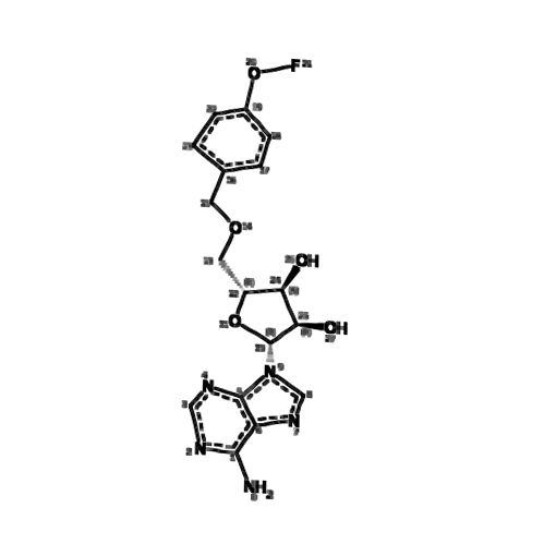 Nc1ncnc2c1ncn2[C@@H]1O[C@H](COCc2ccc(OF)cc2)[C@@H](O)[C@H]1O